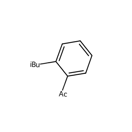 CCC(C)c1ccccc1C(C)=O